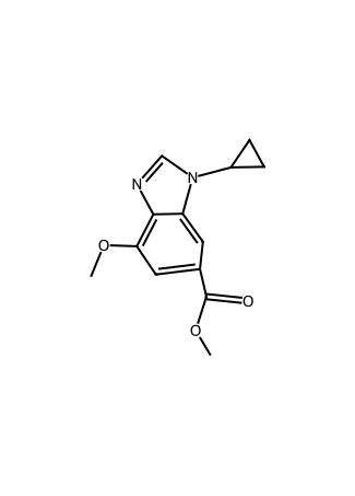 COC(=O)c1cc(OC)c2ncn(C3CC3)c2c1